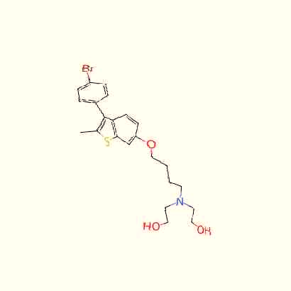 Cc1sc2cc(OCCCCN(CCO)CCO)ccc2c1-c1ccc(Br)cc1